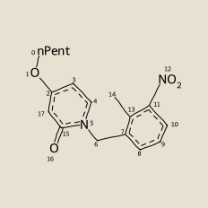 CCCCCOc1ccn(Cc2cccc([N+](=O)[O-])c2C)c(=O)c1